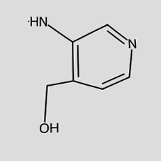 [NH]c1cnccc1CO